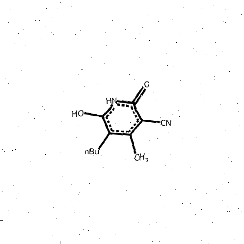 CCCCc1c(O)[nH]c(=O)c(C#N)c1C